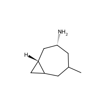 CC1CC2C[C@@H]2C[C@H](N)C1